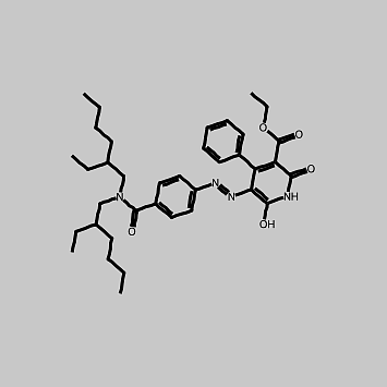 CCCCC(CC)CN(CC(CC)CCCC)C(=O)c1ccc(/N=N/c2c(O)[nH]c(=O)c(C(=O)OCC)c2-c2ccccc2)cc1